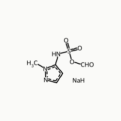 Cn1nccc1NS(=O)(=O)OC=O.[NaH]